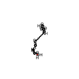 CN(Cc1ccc(SCc2cn(-c3cccc(C(=O)NO)c3)nn2)cc1)C(=O)CCCCCCCCCCNc1ccc2c(c1)C(=O)N(C1CCC(=O)NC1=O)C2=O